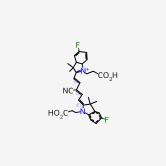 CC1(C)\C(=C/C=C(C#N)/C=C/C2=[N+](CCC(=O)O)C3C=CC(F)=CC3C2(C)C)N(CCC(=O)O)c2ccc(F)cc21